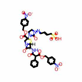 O=C(N[C@@H]1C(=O)N2C[C@@](C(=O)OCc3ccc([N+](=O)[O-])cc3)(N3CCN(N=CC=CCS(=O)(=O)O)C3=O)S[C@H]12)C(C(=O)OCc1ccc([N+](=O)[O-])cc1)c1ccccc1